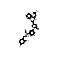 O=CN(NCc1ccc(F)cc1F)c1cccc(N2CC(C(=O)NC(CC(=O)O)c3cccnc3)CC2=O)c1